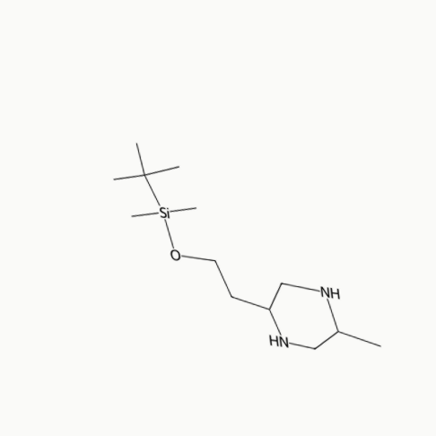 CC1CNC(CCO[Si](C)(C)C(C)(C)C)CN1